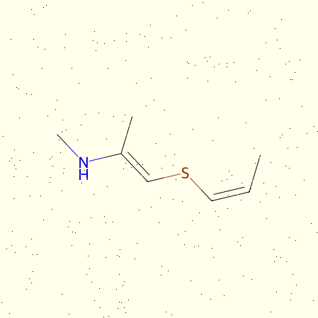 C/C=C\S/C=C(\C)NC